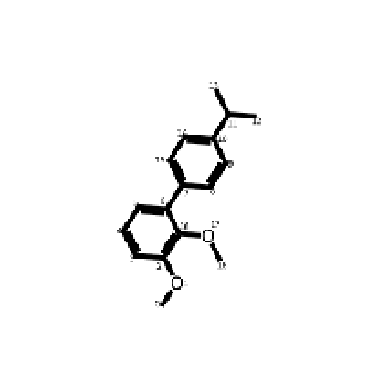 COc1cccc(-c2ccc(C(C)C)cc2)c1OC